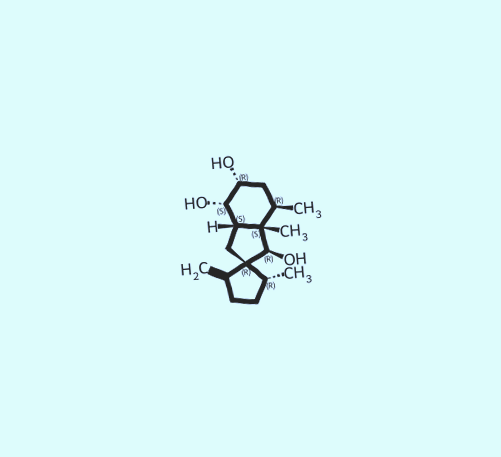 C=C1CC[C@@H](C)[C@]12C[C@@H]1[C@H](O)[C@H](O)C[C@@H](C)[C@]1(C)[C@H]2O